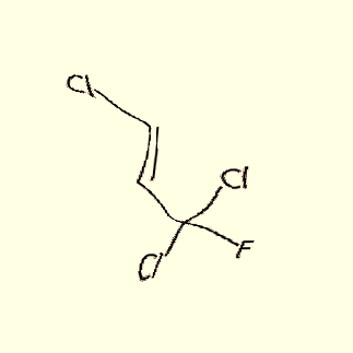 FC(Cl)(Cl)/C=C/Cl